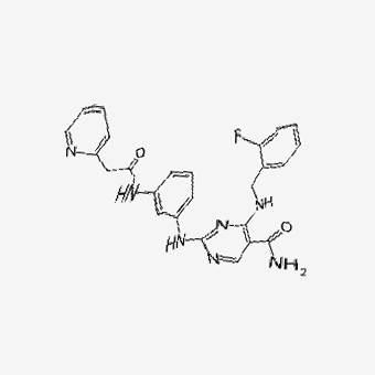 NC(=O)c1cnc(Nc2cccc(NC(=O)Cc3ccccn3)c2)nc1NCc1ccccc1F